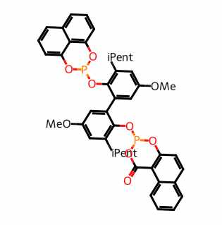 CCCC(C)c1cc(OC)cc(-c2cc(OC)cc(C(C)CCC)c2OP2Oc3cccc4cccc(c34)O2)c1OP1OC(=O)c2c(ccc3ccccc23)O1